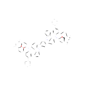 CC(C)c1ccc(-c2cc(C3CCCCC3)ccc2N(c2ccc(C(C)(C)C)cc2)c2ccc3c4cc5c(cc4n4c6ccccc6c2c34)c2ccc(N(c3ccc(C(C)(C)C)cc3)c3ccc(C4CCCCC4)cc3-c3ccc(C(C)(C)C)cc3)c3c4ccccc4n5c23)cc1